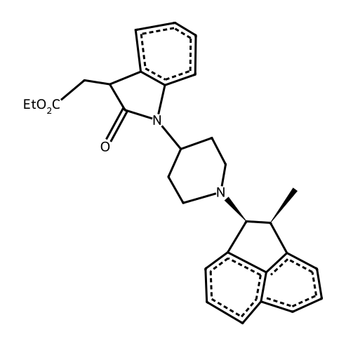 CCOC(=O)CC1C(=O)N(C2CCN([C@@H]3c4cccc5cccc(c45)[C@@H]3C)CC2)c2ccccc21